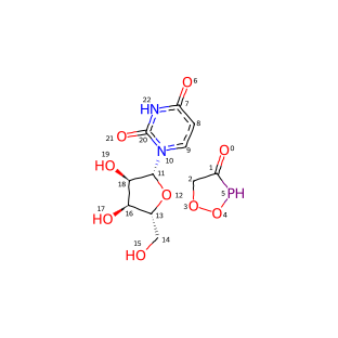 O=C1COOP1.O=c1ccn([C@@H]2O[C@H](CO)[C@@H](O)[C@H]2O)c(=O)[nH]1